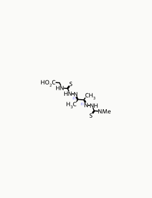 CNC(=S)N/N=C(C)/C(C)=N/NC(=S)NCC(=O)O